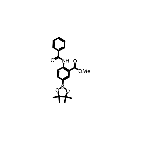 COC(=O)c1cc(B2OC(C)(C)C(C)(C)O2)ccc1NC(=O)c1ccccc1